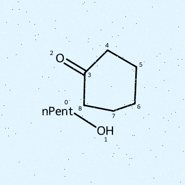 CCCCCO.O=C1CCCCC1